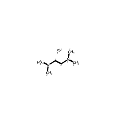 CN(C)CCN(C)C.[Pb]